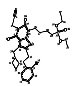 C#CCn1c(=O)c2c(nc(CCc3ccccc3Br)n2CC2CCC2)n(CCCCP(=O)(OCC)OCC)c1=O